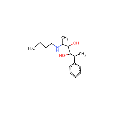 CCCCNC(C)C(O)C(O)C(C)c1ccccc1